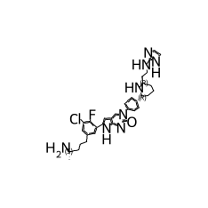 C[C@H](N)CCCc1cc(Cl)c(F)c(-c2cc3cn(-c4ccc([C@H]5CCC[C@H](CCNc6ncc[nH]6)N5)cc4)c(=O)nc3[nH]2)c1